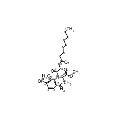 CCCCCCCCC(=O)SCC(=O)N(c1c(C)ccc(Br)c1C)C(C)C(=O)OC